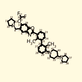 Cc1c(-c2nc3cc(CN4CCCC4)c(OC(F)F)cc3o2)cccc1-c1cccc(N2CCC(N3CCCC3)CC2)c1C